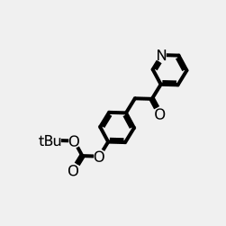 CC(C)(C)OC(=O)Oc1ccc(CC(=O)c2cccnc2)cc1